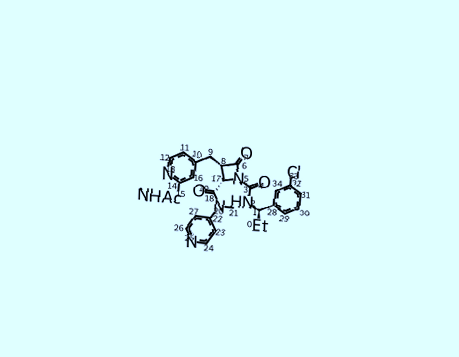 CC[C@@H](NC(=O)N1C(=O)[C@H](Cc2ccnc(NC(C)=O)c2)[C@H]1C(=O)N(C)c1ccncc1)c1cccc(Cl)c1